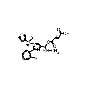 CNC(OC(=O)/C=C/C(=O)O)c1cn(S(=O)(=O)c2ccoc2)c(-c2ccccc2F)n1